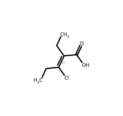 CC/C(Cl)=C(\CC)C(=O)O